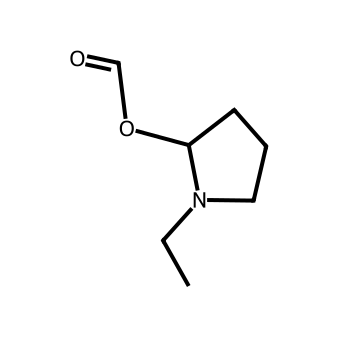 CCN1CCCC1OC=O